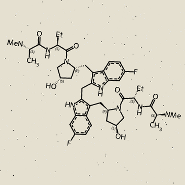 CC[C@H](NC(=O)[C@H](C)NC)C(=O)N1C[C@@H](O)C[C@H]1Cc1c(Cc2[nH]c3cc(F)ccc3c2C[C@@H]2C[C@H](O)CN2C(=O)[C@H](CC)NC(=O)[C@H](C)NC)[nH]c2cc(F)ccc12